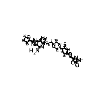 Nc1nc2c(ncn2CCN2CCN(c3ccc(OCc4n[nH]c(=O)o4)cc3F)CC2)c2nc(-c3ccco3)nn12